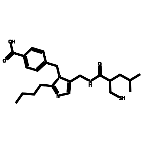 CCCCc1ncc(CNC(=O)C(CS)CC(C)C)n1Cc1ccc(C(=O)O)cc1